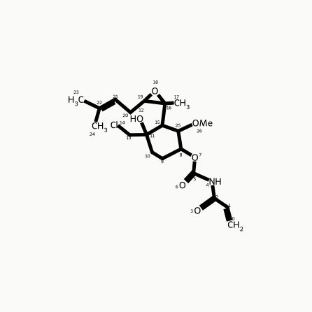 C=CC(=O)NC(=O)OC1CCC(O)(CCl)C(C2(C)OC2CC=C(C)C)C1OC